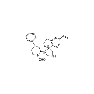 C=Cc1ccc2c(c1)CCC[C@]21CNC[C@H]1C1CC(c2ccccc2)CCN1C=O